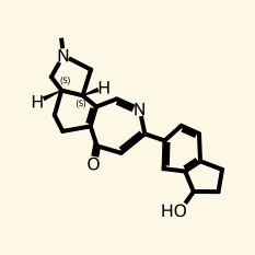 CN1C[C@H]2CCc3c(cnc(-c4ccc5c(c4)C(O)CC5)cc3=O)[C@H]2C1